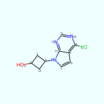 OC1CC(n2ccc3c(Cl)ncnc32)C1